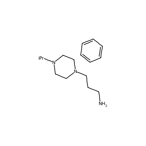 CC(C)N1CCN(CCCN)CC1.c1ccccc1